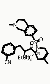 CCOC(=O)[C@@]1(C(=O)C(N)Cc2cccc(C#N)c2)CC(C)=CCN1S(=O)(=O)c1ccc2c(c1)CN(C)CC2